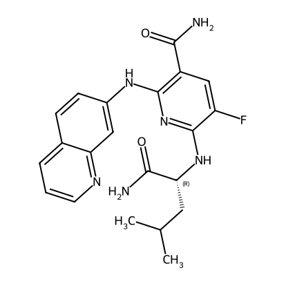 CC(C)C[C@@H](Nc1nc(Nc2ccc3cccnc3c2)c(C(N)=O)cc1F)C(N)=O